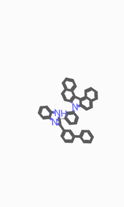 c1ccc(-c2cccc(C3N4c5ccccc5N[C@@]34c3cccc(-n4c5ccc6ccccc6c5c5c6ccccc6ccc54)c3)c2)cc1